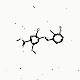 COC(=O)c1cc(Cl)c(/C=C/c2cccc(Br)c2C)cc1OC